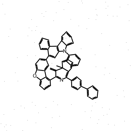 C=C1C(c2cccc3oc4ccc(-c5cc6c(c7ccccc57)c5ccccc5n6-c5ccccc5)cc4c23)=NC(c2ccc(-c3ccccc3)cc2)=C2C=CC=CC12C